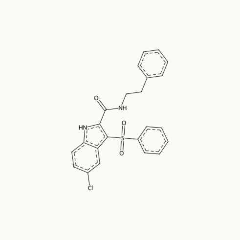 O=C(NCCc1ccccc1)c1[nH]c2ccc(Cl)cc2c1S(=O)(=O)c1ccccc1